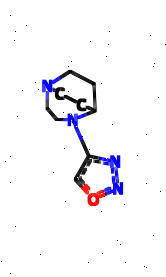 c1onnc1N1CCN2CCC1CC2